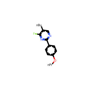 CCCCc1cnc(-c2ccc(OCCC)cc2)nc1F